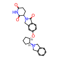 O=C1CCC(N2Cc3cc(O[C@H]4CCC[C@@H]4N4Cc5ccccc5C4)ccc3C2=O)C(=O)N1